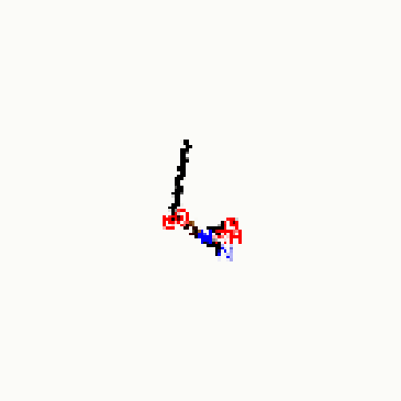 CCCCCCCCCCCC(=O)OCSCN(CCCN(C)C)CC(O)COC